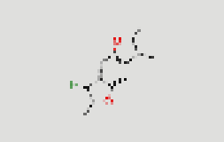 CC1Oc2cc3c(cc2C1C)OC(C)C3F